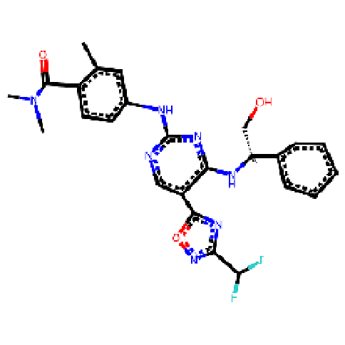 Cc1cc(Nc2ncc(-c3nc(C(F)F)no3)c(N[C@H](CO)c3ccccc3)n2)ccc1C(=O)N(C)C